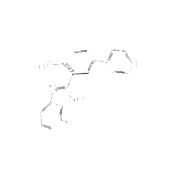 Cc1cccc2nc(-c3cc(-c4ccncc4)ccc3O)[nH]c12